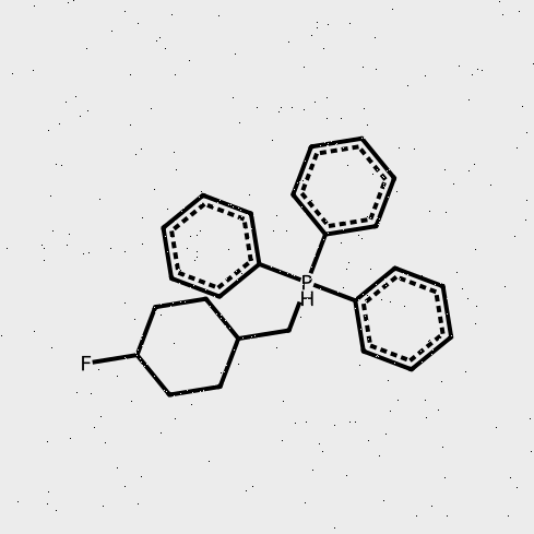 FC1CCC(C[PH](c2ccccc2)(c2ccccc2)c2ccccc2)CC1